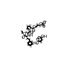 CCOC(=O)[C@H](CCc1ccccc1)N[C@@H](C)C(=O)N1CCC[C@H]1C(=O)OCCCO[N+](=O)[O-].O=C(O)/C=C\C(=O)O